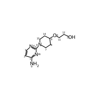 Nc1ccnc(N2CCC(OCCO)CC2)n1